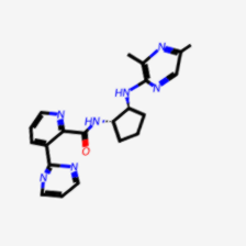 Cc1cnc(N[C@H]2CCC[C@@H]2NC(=O)c2ncccc2-c2ncccn2)c(C)n1